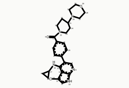 O=C(c1ccc(-c2cnc3[nH]cc(Cl)c3c2NC2CC2)cc1)N1CCC(N2CCOCC2)CC1